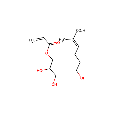 C=CC(=O)OCC(O)CO.CC(=CCCCO)C(=O)O